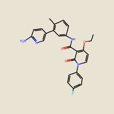 CCOc1ccn(-c2ccc(F)cc2)c(=O)c1C(=O)Nc1ccc(C)c(-c2ccc(N)nc2)c1